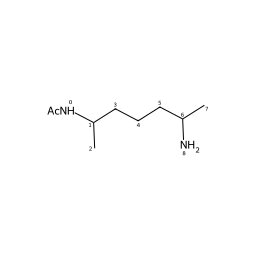 CC(=O)NC(C)CCCC(C)N